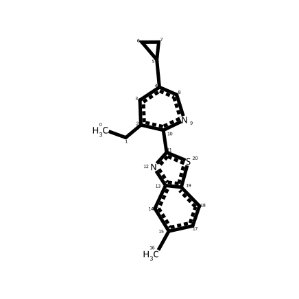 CCc1cc(C2CC2)cnc1-c1nc2cc(C)ccc2s1